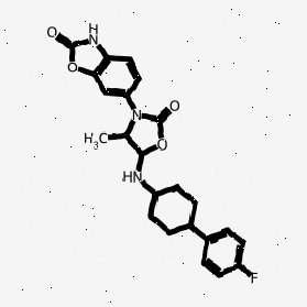 CC1C(NC2CCC(c3ccc(F)cc3)CC2)OC(=O)N1c1ccc2[nH]c(=O)oc2c1